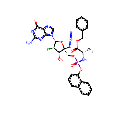 C[C@H](NP(=O)(OC[C@@]1(N=[N+]=[N-])O[C@@H](n2cnc3c(=O)[nH]c(N)nc32)[C@H](F)[C@@H]1O)Oc1cccc2ccccc12)C(=O)OCc1ccccc1